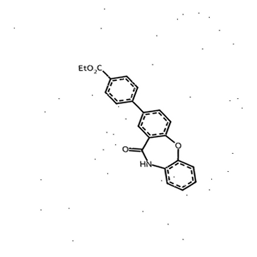 CCOC(=O)c1ccc(-c2ccc3c(c2)C(=O)Nc2ccccc2O3)cc1